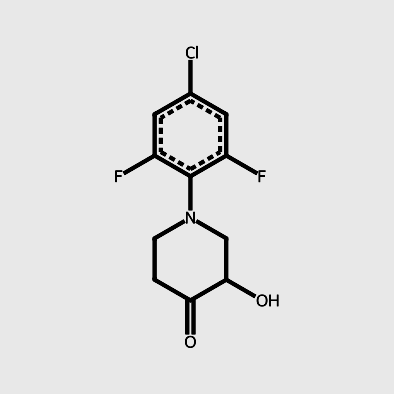 O=C1CCN(c2c(F)cc(Cl)cc2F)CC1O